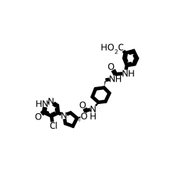 O=C(NC[C@H]1CC[C@H](NC(=O)O[C@@H]2CCN(c3cn[nH]c(=O)c3Cl)C2)CC1)Nc1cccc(C(=O)O)c1